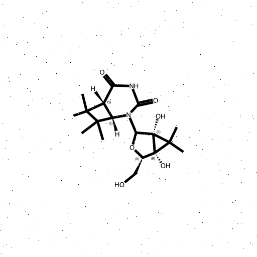 CC1(C)[C@@H]2C(=O)NC(=O)N(C3O[C@H](CO)[C@]4(O)C(C)(C)[C@]34O)[C@@H]2C1(C)C